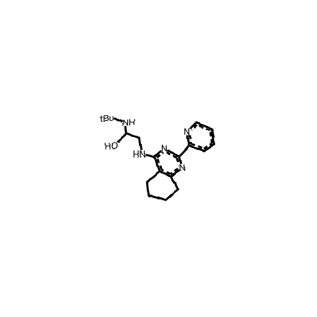 CC(C)(C)NC(O)CNc1nc(-c2ccccn2)nc2c1CCCC2